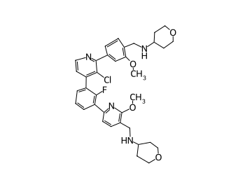 COc1cc(-c2nccc(-c3cccc(-c4ccc(CNC5CCOCC5)c(OC)n4)c3F)c2Cl)ccc1CNC1CCOCC1